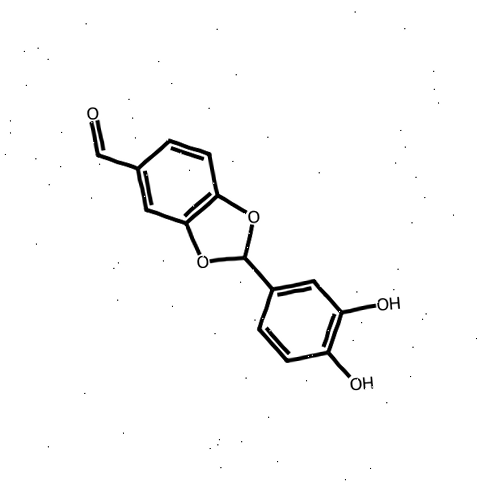 O=Cc1ccc2c(c1)OC(c1ccc(O)c(O)c1)O2